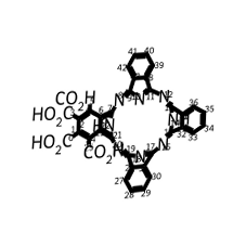 O=C(O)c1c(C(=O)O)c(C(=O)O)c2c3nc4nc(nc5[nH]c(nc6nc(nc([nH]3)c2c1C(=O)O)-c1ccccc1-6)c1ccccc51)-c1ccccc1-4